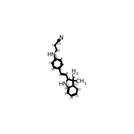 CC1(C)C(/C=C/c2ccc(NCCC#N)cc2)NC2=CC=CCC21